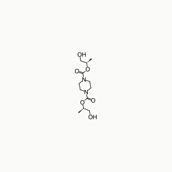 C[C@H](CO)OC(=O)N1CCN(C(=O)O[C@H](C)CO)CC1